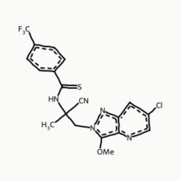 COc1c2ncc(Cl)cc2nn1CC(C)(C#N)NC(=S)c1ccc(C(F)(F)F)cc1